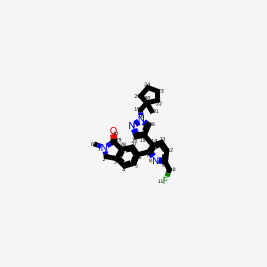 CN1Cc2ccc(-c3nc(CF)ccc3-c3cnn(CC4(C)CCCC4)c3)cc2C1=O